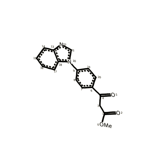 COC(=O)CC(=O)c1ccc(-n2cnc3ccccc32)cc1